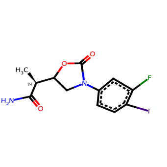 C[C@H](C(N)=O)C1CN(c2ccc(I)c(F)c2)C(=O)O1